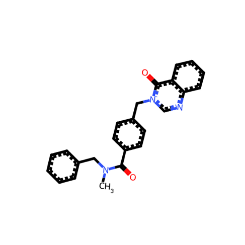 CN(Cc1ccccc1)C(=O)c1ccc(Cn2cnc3ccccc3c2=O)cc1